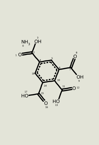 N.O=C(O)c1cc(C(=O)O)c(C(=O)O)c(C(=O)O)c1